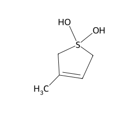 CC1=CCS(O)(O)C1